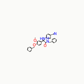 COc1cc([C@@H](Nc2ccc(C#N)cc2)C(=O)NCc2ccccc2)ccc1OCc1ccccc1